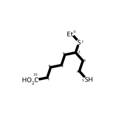 CCSC(CCS)CCCCC(=O)O